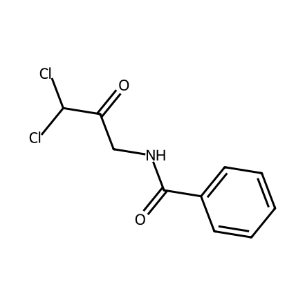 O=C(NCC(=O)C(Cl)Cl)c1ccccc1